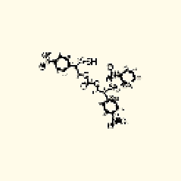 O=C(OCC(SS)c1ccc([N+](=O)[O-])cc1)OCC(SSc1ncccc1[N+](=O)[O-])c1ccc([N+](=O)[O-])cc1